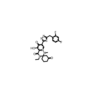 CCN1C(=O)c2c(O)c(=O)c(-c3nnc(Cc4ccc(F)cc4F)s3)cn2N(C)C12CCCC(=O)C2